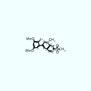 COc1cc(OC)c(F)c(C2=Cc3cnc(S(C)(=O)=O)nc3N(C)C2)c1